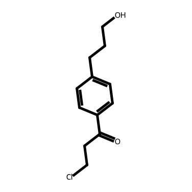 O=C(CCCl)c1ccc(CCCO)cc1